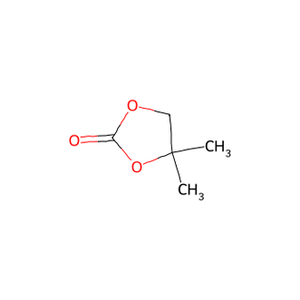 CC1(C)COC(=O)O1